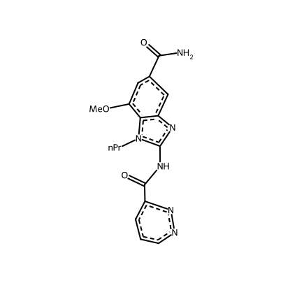 CCCn1c(NC(=O)c2cccnn2)nc2cc(C(N)=O)cc(OC)c21